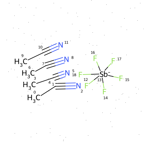 CC#N.CC#N.CC#N.CC#N.[F][Sb-]([F])([F])([F])([F])[F]